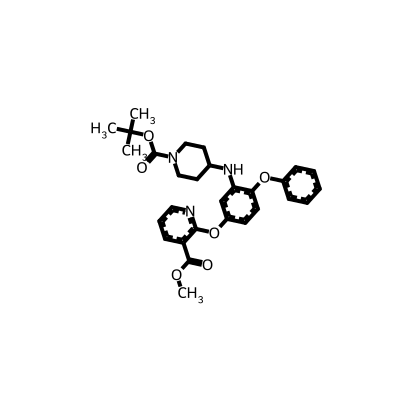 COC(=O)c1cccnc1Oc1ccc(Oc2ccccc2)c(NC2CCN(C(=O)OC(C)(C)C)CC2)c1